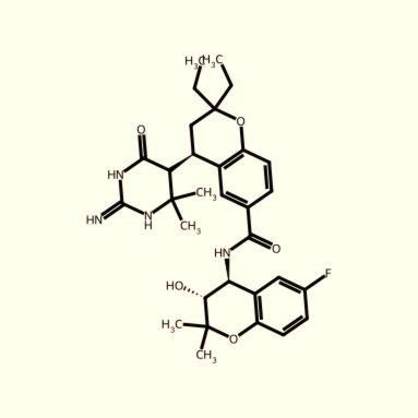 CCC1(CC)C[C@H](C2C(=O)NC(=N)NC2(C)C)c2cc(C(=O)N[C@H]3c4cc(F)ccc4OC(C)(C)[C@@H]3O)ccc2O1